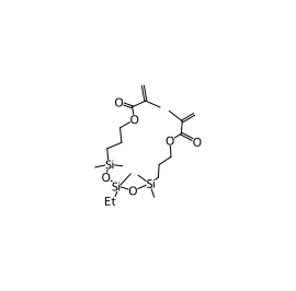 C=C(C)C(=O)OCCC[Si](C)(C)O[Si](C)(CC)O[Si](C)(C)CCCOC(=O)C(=C)C